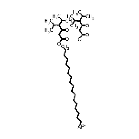 CC(C)C(C(=O)CC(=O)[O-])C(C)C.CC(C)C(C(=O)CC(=O)[O-])C(C)C.CCCCCCCCCCCCCCCCC[CH2][Al+2]